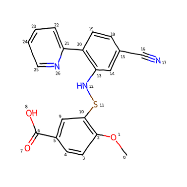 COc1ccc(C(=O)O)cc1SNc1cc(C#N)ccc1-c1ccccn1